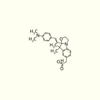 CN(C)c1ccc(C=CC23OCCN2c2ccc(C[SH](=O)=O)cc2C3(C)C)cc1